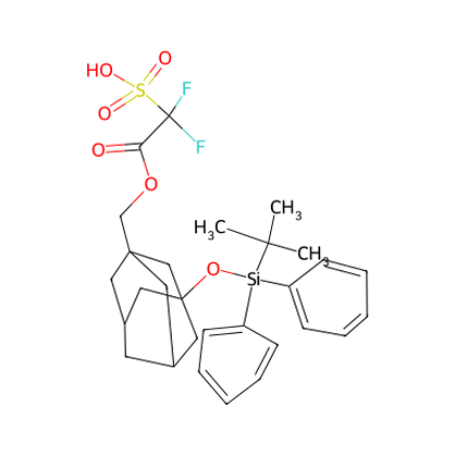 CC(C)(C)[Si](OC12CC3CC(CC(COC(=O)C(F)(F)S(=O)(=O)O)(C3)C1)C2)(c1ccccc1)c1ccccc1